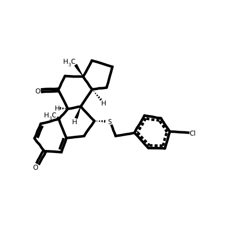 C[C@@]12CCC[C@H]1[C@@H]1[C@H](SCc3ccc(Cl)cc3)CC3=CC(=O)C=C[C@]3(C)[C@H]1C(=O)C2